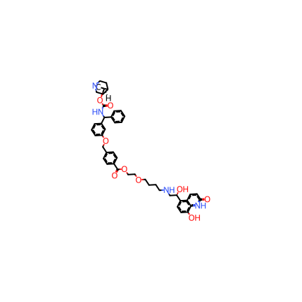 O=C(NC(c1ccccc1)c1cccc(OCc2ccc(C(=O)OCCOCCCCNC[C@@H](O)c3ccc(O)c4[nH]c(=O)ccc34)cc2)c1)O[C@H]1CN2CCC1CC2